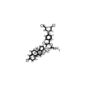 CC(=O)[C@@]1(OC(=O)C(OC(N)=O)c2ccc(N(CCCl)CCCl)cc2)CC[C@H]2[C@@H]3CCC4=CC(=O)CC[C@]4(C)[C@H]3CC[C@@]21C